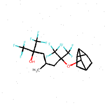 CC(CC(O)(C(F)(F)F)C(F)(F)F)CC(OC1C2CC3C(C2)C31)(C(F)(F)F)C(F)(F)F